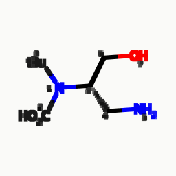 CC(C)(C)N(C(=O)O)[C@@H](CN)CO